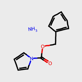 N.O=C(OCc1ccccc1)n1cccc1